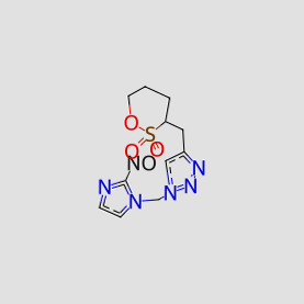 O=Nc1nccn1Cn1cc(CC2CCCOS2(=O)=O)nn1